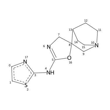 c1csc(NC2=NCC3(CN4CCC3CC4)O2)n1